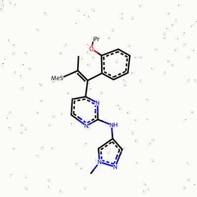 CS/C(C)=C(\c1ccnc(Nc2cnn(C)c2)n1)c1ccccc1OC(C)C